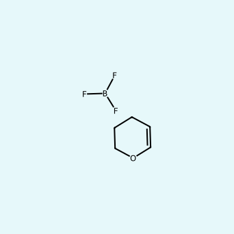 C1=COCCC1.FB(F)F